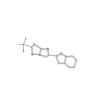 CC(F)(F)c1nn2cc(-c3cc4ccccc4o3)nc2s1